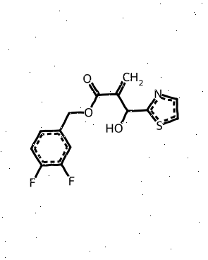 C=C(C(=O)OCc1ccc(F)c(F)c1)C(O)c1nccs1